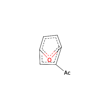 CC(=O)c1cc2ccc1o2